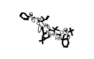 C=CC(C)C(NC(=O)C1C2C(CN1C(=O)C(NC(=O)NC1(CS(=O)(=O)C(C)(C)C)CCCCC1)C(C)(C)C)C2(C)C)C(=O)NS(=O)(=O)c1ccccc1